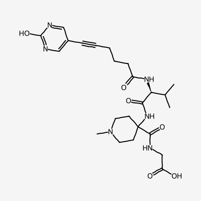 CC(C)[C@H](NC(=O)CCCC#Cc1cnc(O)nc1)C(=O)NC1(C(=O)NCC(=O)O)CCN(C)CC1